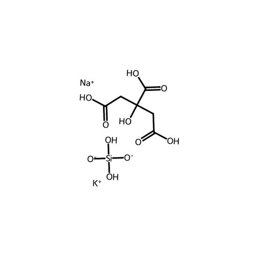 O=C(O)CC(O)(CC(=O)O)C(=O)O.[K+].[Na+].[O-][Si]([O-])(O)O